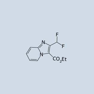 CCOC(=O)c1c(C(F)F)nc2ccccn12